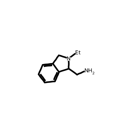 CCN1Cc2ccccc2C1CN